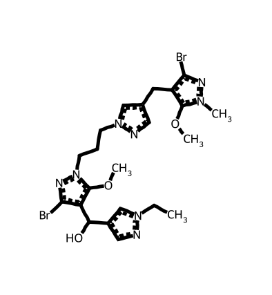 CCn1cc(C(O)c2c(Br)nn(CCCn3cc(Cc4c(Br)nn(C)c4OC)cn3)c2OC)cn1